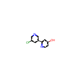 Oc1ccnc(-c2[c]ncc(Cl)c2)c1